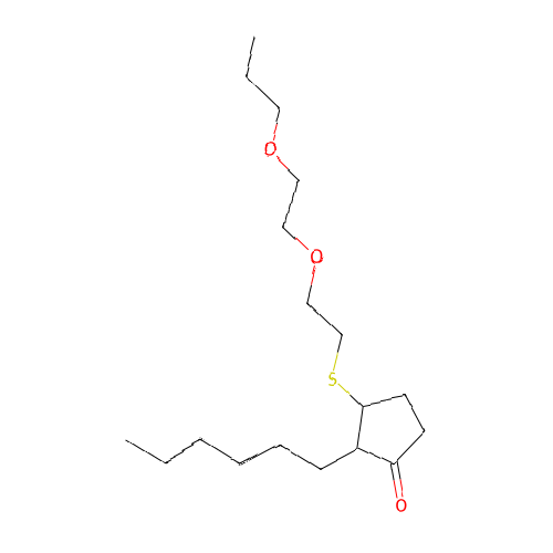 CCCCCCC1C(=O)CCC1SCCOCCOCCC